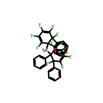 FC1=C(F)C(F)(c2ccccc2)C([Se]C2(c3ccccc3)C(F)=C(F)C(F)=C(F)C2(F)c2ccccc2)(c2ccccc2)C(F)=C1F